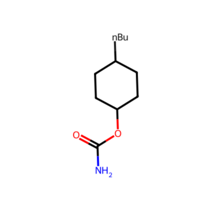 CCCCC1CCC(OC(N)=O)CC1